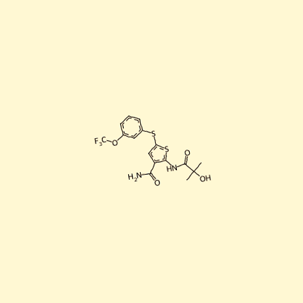 CC(C)(O)C(=O)Nc1sc(Sc2cccc(OC(F)(F)F)c2)cc1C(N)=O